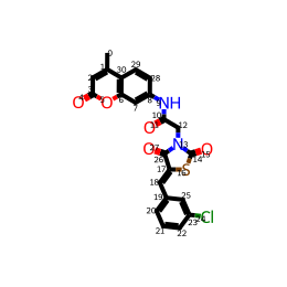 Cc1cc(=O)oc2cc(NC(=O)CN3C(=O)S/C(=C\c4cccc(Cl)c4)C3=O)ccc12